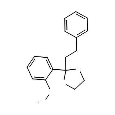 COc1ccccc1C1(CCc2ccccc2)OCCO1